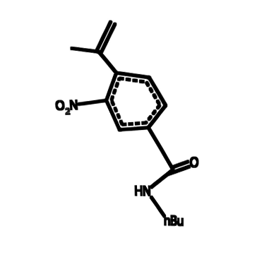 C=C(C)c1ccc(C(=O)NCCCC)cc1[N+](=O)[O-]